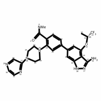 CNC(=O)c1ccc(-c2cc(O[C@H](C)C(F)(F)F)c3c(N)n[nH]c3c2)cc1N1CCN(c2cnccn2)CC1